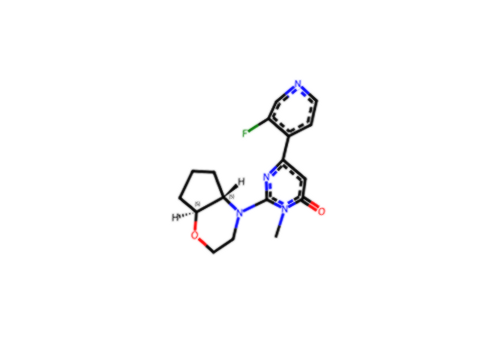 Cn1c(N2CCO[C@H]3CCC[C@@H]32)nc(-c2ccncc2F)cc1=O